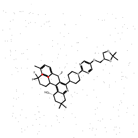 Cc1ccc([C@H](F)c2c(C3CCN(c4ncc(OC[C@H]5COC(C)(C)O5)cn4)CC3)nc3c(c2C2CCC(F)(F)CC2)[C@@H](O)CC(C)(C)C3)cc1